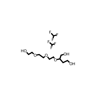 FC(F)F.FC(F)F.OCCOCCOCCOC(CO)CCO